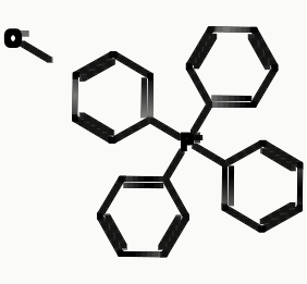 C[O-].c1ccc([P+](c2ccccc2)(c2ccccc2)c2ccccc2)cc1